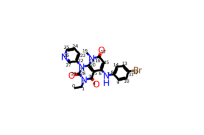 CCn1c(=O)c2c(Nc3ccc(Br)cc3)cc(=O)n(C)c2n(-c2cccnc2)c1=O